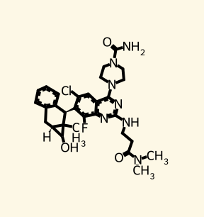 CN(C)C(=O)CCNc1nc(N2CCN(C(N)=O)CC2)c2cc(Cl)c([C@@H]3c4ccccc4C[C@@H]4C(O)C34C)c(F)c2n1